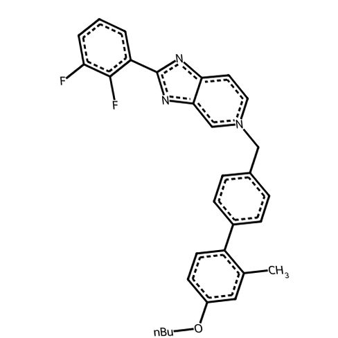 CCCCOc1ccc(-c2ccc(Cn3ccc4nc(-c5cccc(F)c5F)nc-4c3)cc2)c(C)c1